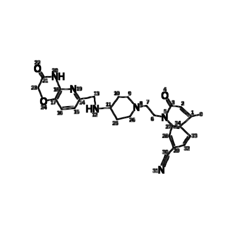 Cc1cc(=O)n(CCN2CCC(NCc3ccc4c(n3)NC(=O)CO4)CC2)c2cc(C#N)ccc12